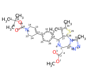 COC(=O)C[C@@H]1N=C(c2ccc(C3=CCN(C(=O)OC(C)(C)C)CC3)cc2)c2c(sc(C)c2C)-n2c(C)nnc21